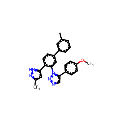 Cc1cccc(-c2ccc(-c3cc(C(F)(F)F)n[nH]3)c(-n3nncc3-c3ccc(OC(F)(F)F)cc3)c2)c1